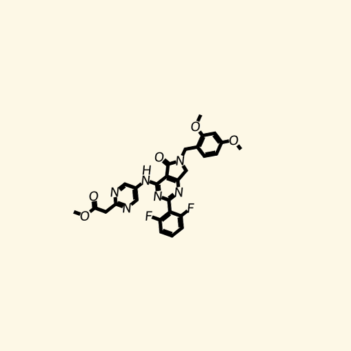 COC(=O)Cc1ncc(Nc2nc(-c3c(F)cccc3F)nc3c2C(=O)N(Cc2ccc(OC)cc2OC)C3)cn1